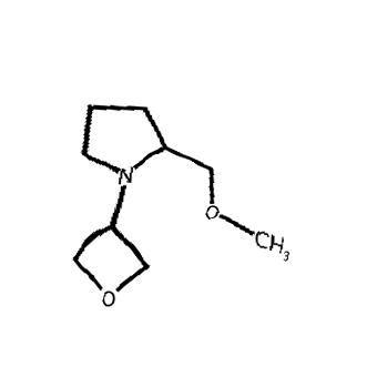 COCC1CCCN1C1COC1